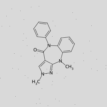 CN1c2ccccc2N(c2ccccc2)C(=O)c2cn(C)nc21